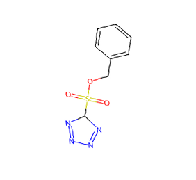 O=S(=O)(OCc1ccccc1)C1N=NN=N1